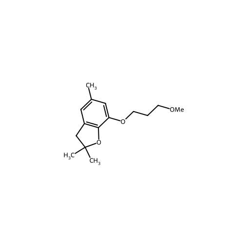 COCCCOc1cc(C)cc2c1OC(C)(C)C2